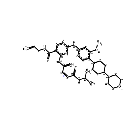 C=CCNC(=O)c1cnc(Nc2ccc(N3CCC(N4CCOCC4)CC3)c(OC)c2)nc1NC(=N)/C=C\C(=O)NC(C)C